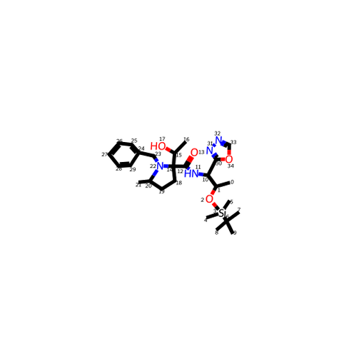 CC(O[Si](C)(C)C(C)(C)C)C(NC(=O)C1(C(C)O)CCC(C)N1Cc1ccccc1)c1nnco1